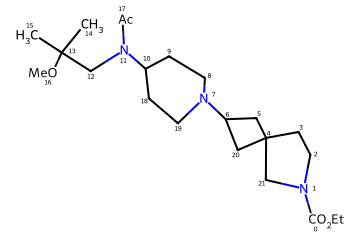 CCOC(=O)N1CCC2(CC(N3CCC(N(CC(C)(C)OC)C(C)=O)CC3)C2)C1